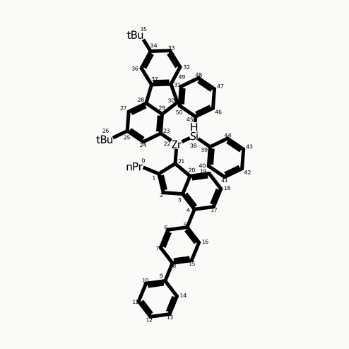 CCCC1=Cc2c(-c3ccc(-c4ccccc4)cc3)cccc2[CH]1[Zr]([c]1cc(C(C)(C)C)cc2c1Cc1ccc(C(C)(C)C)cc1-2)[SiH](c1ccccc1)c1ccccc1